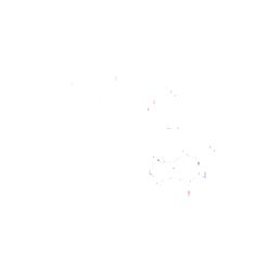 CCN(CC)CC.Nc1nc2c(ncn2[C@@H]2O[C@H](COP(=O)(O)OP(=O)(O)O)[C@@H](O)[C@H]2O)c(=O)[nH]1